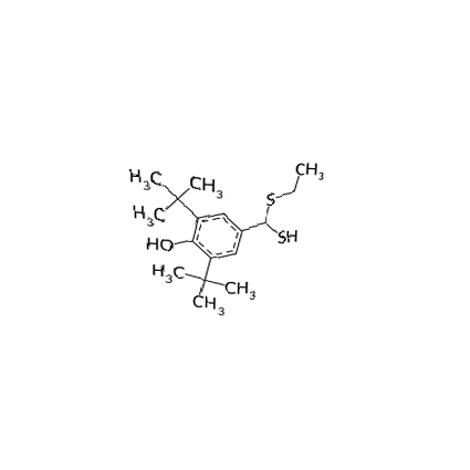 CCSC(S)c1cc(C(C)(C)C)c(O)c(C(C)(C)C)c1